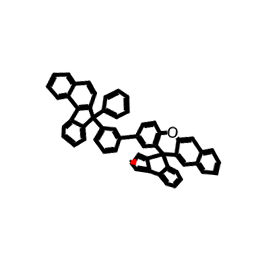 c1ccc(C2(c3cccc(-c4ccc5c(c4)C4(c6cc7ccccc7cc6O5)c5ccccc5-c5ccccc54)c3)c3ccccc3-c3c2ccc2ccccc32)cc1